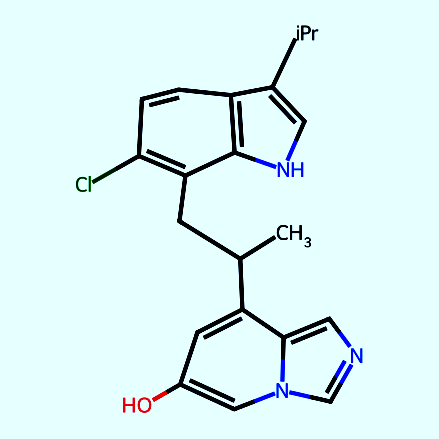 CC(C)c1c[nH]c2c(CC(C)c3cc(O)cn4cncc34)c(Cl)ccc12